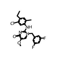 CCc1cc(C)c(Nc2nc(=O)c(OC)cn2Cc2cc(F)cc(F)c2)cc1Cl